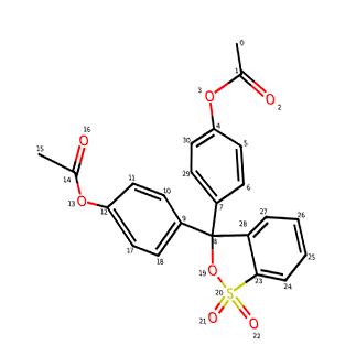 CC(=O)Oc1ccc(C2(c3ccc(OC(C)=O)cc3)OS(=O)(=O)c3ccccc32)cc1